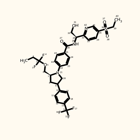 CCC(F)(F)OC[C@@H]1CC(c2ccc(C(F)(F)F)cc2)CN1c1ccc(C(=O)N[C@@H](CO)c2ccc(S(=O)(=O)CC)cn2)cc1